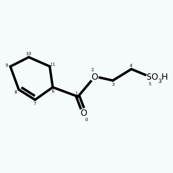 O=C(OCCS(=O)(=O)O)C1C=CCCC1